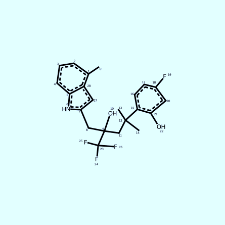 Cc1cccc2[nH]c(CC(O)(CC(C)(C)c3ccc(F)cc3O)C(F)(F)F)cc12